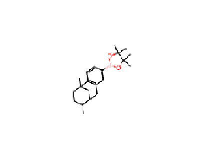 CC1CCC2(C)CC1Cc1cc(B3OC(C)(C)C(C)(C)O3)ccc12